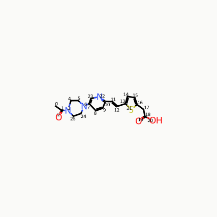 CC(=O)N1CCN(c2ccc(C=Cc3ccc(CC(=O)O)s3)nc2)CC1